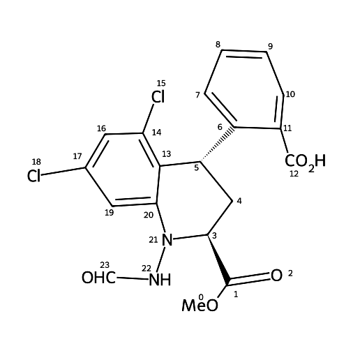 COC(=O)[C@@H]1C[C@@H](c2ccccc2C(=O)O)c2c(Cl)cc(Cl)cc2N1NC=O